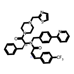 O=C([C@H](Cc1ccccc1)N(Cc1ccc(-c2ccccn2)cc1)C(=O)/C=C\c1ccc(C(F)(F)F)cc1)N1CCN(Cc2nccs2)CC1